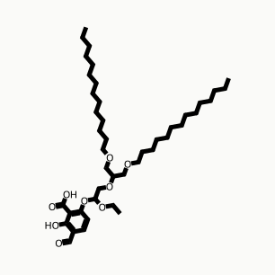 CCCCCCCCCCCCCCOCC(COCCCCCCCCCCCCCC)OCC(OCC)Oc1ccc(C=O)c(O)c1C(=O)O